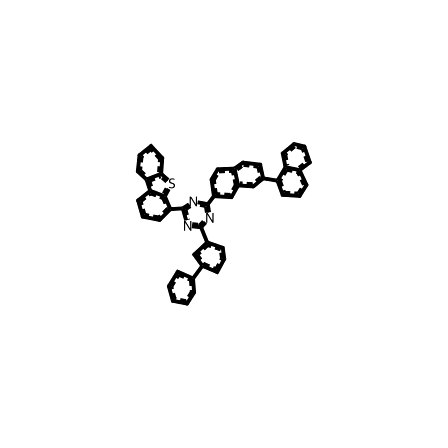 c1ccc(-c2cccc(-c3nc(-c4ccc5ccc(-c6cccc7ccccc67)cc5c4)nc(-c4cccc5c4sc4ccccc45)n3)c2)cc1